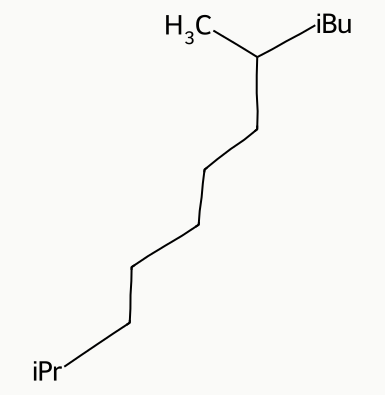 [CH2]C(CC)C(C)CCCCCC(C)C